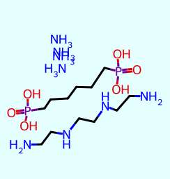 N.N.N.N.NCCNCCNCCN.O=P(O)(O)CCCCCCP(=O)(O)O